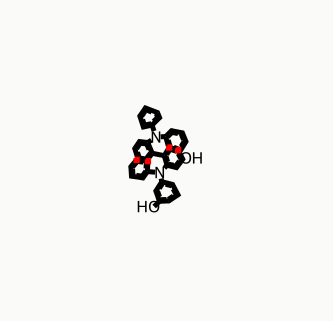 Oc1cccc(N(c2ccccc2)c2ccccc2-c2ccccc2N(c2ccccc2)c2cccc(O)c2)c1